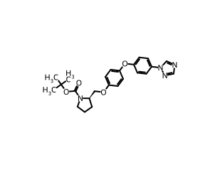 CC(C)(C)OC(=O)N1CCC[C@@H]1COc1ccc(Oc2ccc(-n3cncn3)cc2)cc1